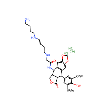 COc1cc(C2c3cc4c(cc3C(NC(=O)CNCCCCNCCCCN)C3COC(=O)C23)OCO4)cc(OC)c1O.Cl.Cl.Cl